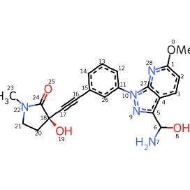 COc1ccc2c(C(N)O)nn(-c3cccc(C#C[C@]4(O)CCN(C)C4=O)c3)c2n1